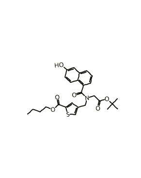 CCCCOC(=O)c1cc(CN(CC(=O)OC(C)(C)C)C(=O)c2cccc3cc(O)ccc23)cs1